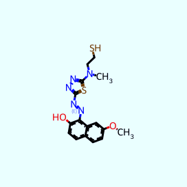 COc1ccc2ccc(O)c(/N=N/c3nnc(N(C)CCS)s3)c2c1